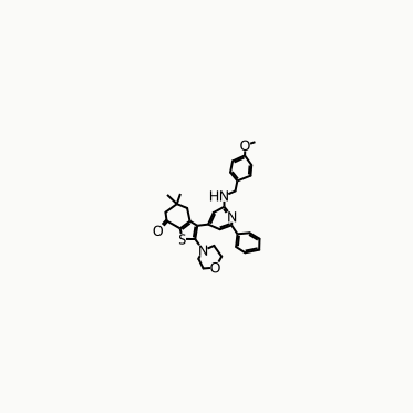 COc1ccc(CNc2cc(-c3c(N4CCOCC4)sc4c3CC(C)(C)CC4=O)cc(-c3ccccc3)n2)cc1